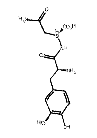 NC(=O)C[Si@H](NC(=O)[C@@H](N)Cc1ccc(O)c(O)c1)C(=O)O